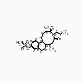 CC1CC(=O)N(CCC(F)(F)F)C(=O)[C@@H](C)CCC2c3ccc(OS(N)(=O)=O)cc3CCC12